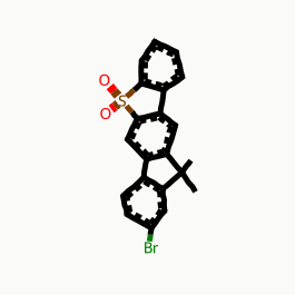 CC1(C)c2cc(Br)ccc2-c2cc3c(cc21)-c1ccccc1S3(=O)=O